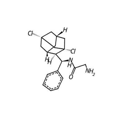 NCC(=O)N[C@@H](c1ccccc1)[C@H]1[C@H]2C[C@@H]3C[C@](Cl)(C2)C[C@@]1(Cl)C3